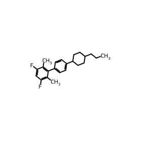 CCCC1CCC(c2ccc(-c3c(C)c(F)cc(F)c3C)cc2)CC1